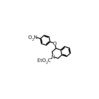 CCOC(=O)N1Cc2ccccc2C(Oc2ccc([N+](=O)[O-])cc2)C1